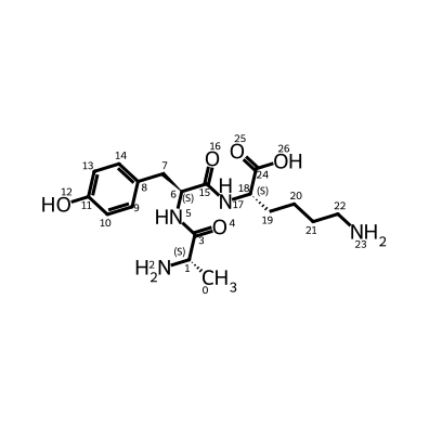 C[C@H](N)C(=O)N[C@@H](Cc1ccc(O)cc1)C(=O)N[C@@H](CCCCN)C(=O)O